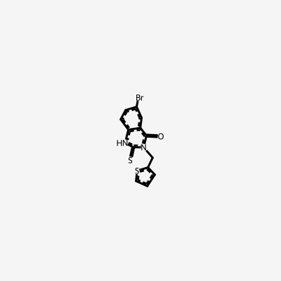 O=c1c2cc(Br)ccc2[nH]c(=S)n1Cc1cccs1